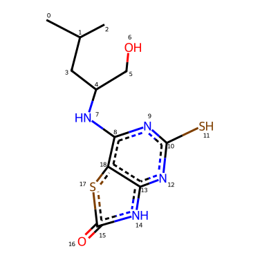 CC(C)CC(CO)Nc1nc(S)nc2[nH]c(=O)sc12